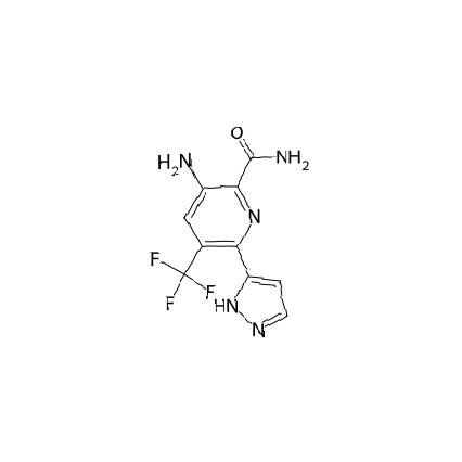 NC(=O)c1nc(-c2ccn[nH]2)c(C(F)(F)F)cc1N